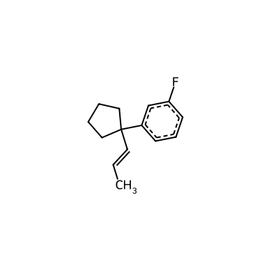 C/C=C/C1(c2cccc(F)c2)CCCC1